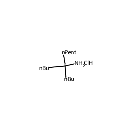 CCCCCC(N)(CCCC)CCCC.Cl